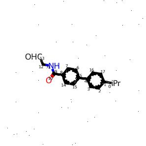 CC(C)c1ccc(-c2ccc(C(=O)NCC=O)cc2)cc1